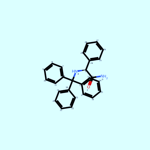 NC(=O)[C@@H](NC(c1ccccc1)(c1ccccc1)c1ccccc1)c1ccccc1